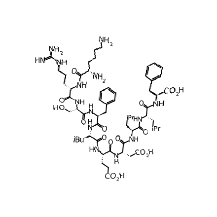 CC[C@H](C)[C@H](NC(=O)[C@H](Cc1ccccc1)NC(=O)[C@H](CO)NC(=O)[C@H](CCCNC(=N)N)NC(=O)[C@@H](N)CCCCN)C(=O)N[C@@H](CCC(=O)O)C(=O)N[C@@H](CC(=O)O)C(=O)N[C@@H](CC(C)C)C(=O)N[C@@H](CC(C)C)C(=O)N[C@@H](Cc1ccccc1)C(=O)O